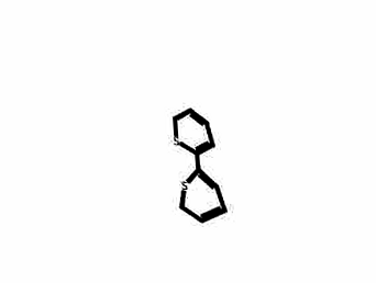 C1=CCSC(C2=CC=CCS2)=C1